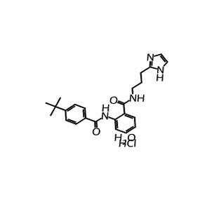 CC(C)(C)c1ccc(C(=O)Nc2ccccc2C(=O)NCCCc2ncc[nH]2)cc1.Cl.O